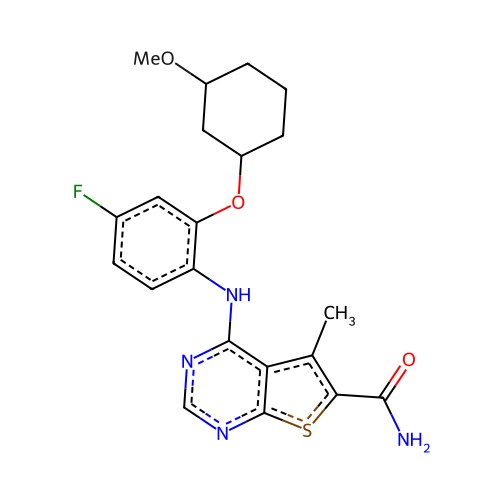 COC1CCCC(Oc2cc(F)ccc2Nc2ncnc3sc(C(N)=O)c(C)c23)C1